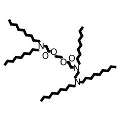 CCCCCCCCCN(CCCCCCCCC)CCN(CCCCCCCCC)CC(=O)OCCOC(=O)CN(CCCCCCCCC)CCCCCCCCC